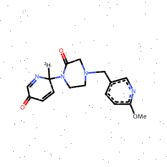 [2H]C1(N2CCN(Cc3ccc(OC)nc3)CC2=O)C=CC(=O)C=N1